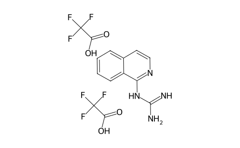 N=C(N)Nc1nccc2ccccc12.O=C(O)C(F)(F)F.O=C(O)C(F)(F)F